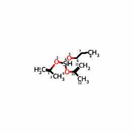 C=C(C)O[SiH](OCCC)OC(=C)C